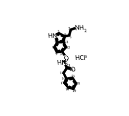 Cl.NCCc1c[nH]c2ccc(ONC(=O)Cc3ccccc3)cc12